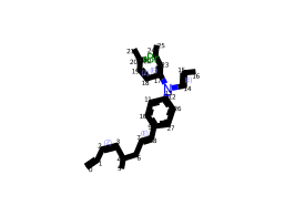 C=C/C=C\C(C)C/C=C/c1ccc(N(/C=C/C)C(/C=C\C(C)Br)=C/CC)cc1